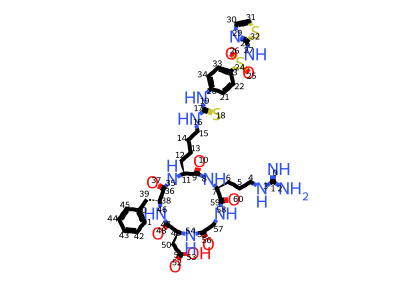 N=C(N)NCCC[C@@H]1NC(=O)[C@H](CCCCNC(=S)Nc2ccc(S(=O)(=O)Nc3nccs3)cc2)NC(=O)[C@@H](Cc2ccccc2)NC(=O)[C@H](CC(=O)O)NC(=O)CNC1=O